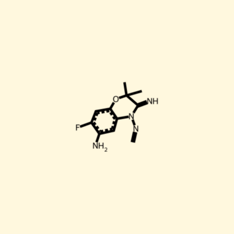 C=NN1C(=N)C(C)(C)Oc2cc(F)c(N)cc21